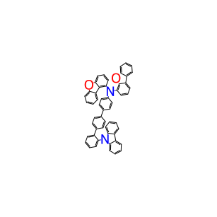 c1ccc(-n2c3ccccc3c3ccccc32)c(-c2ccc(-c3ccc(N(c4cccc5c4oc4ccccc45)c4cccc5oc6ccccc6c45)cc3)cc2)c1